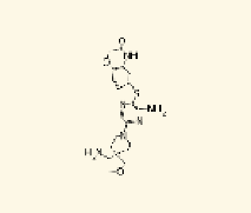 Nc1nc(N2CCC3(CC2)COCC3N)cnc1Sc1ccc2c(c1)NC(=O)CO2